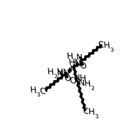 CCCCCCCCCCC(N)C(=O)NCCN(CCNC(=O)C(N)CCCCCCCCCC)CCNC(=O)C(N)CCCCCCCCCC